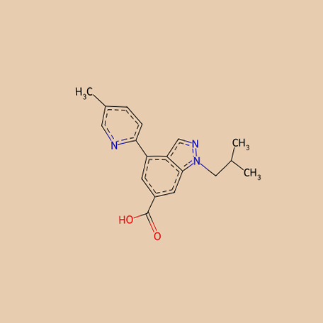 Cc1ccc(-c2cc(C(=O)O)cc3c2cnn3CC(C)C)nc1